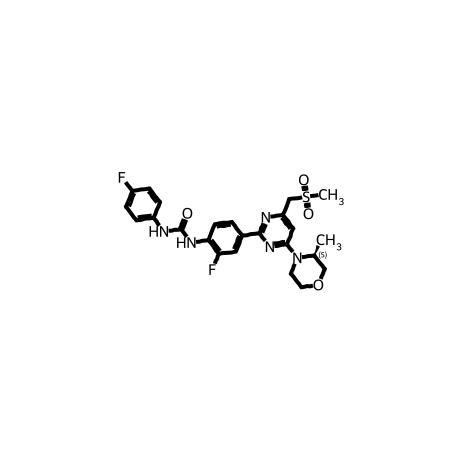 C[C@H]1COCCN1c1cc(CS(C)(=O)=O)nc(-c2ccc(NC(=O)Nc3ccc(F)cc3)c(F)c2)n1